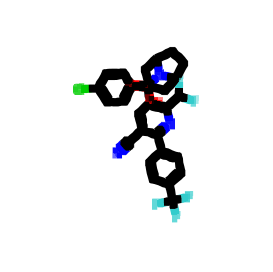 N#Cc1cc(C(=O)N2C3CCC2CC(O)(c2ccc(Cl)cc2)C3)c(C(F)F)nc1-c1ccc(C(F)(F)F)cc1